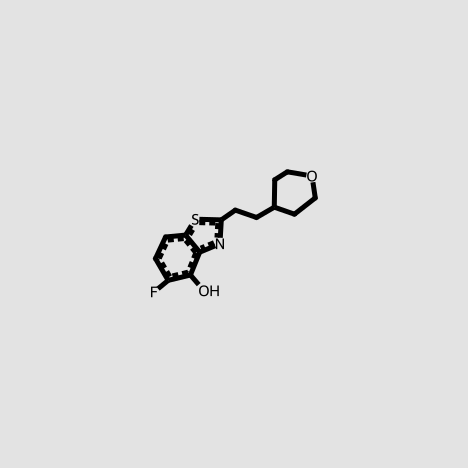 Oc1c(F)ccc2sc(CCC3CCOCC3)nc12